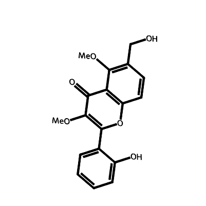 COc1c(-c2ccccc2O)oc2ccc(CO)c(OC)c2c1=O